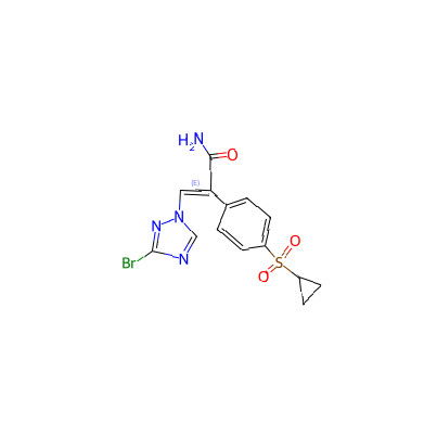 NC(=O)/C(=C/n1cnc(Br)n1)c1ccc(S(=O)(=O)C2CC2)cc1